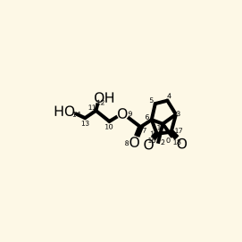 CC1(C)C2CCC1(C(=O)OCC(O)CO)C(=O)C2=O